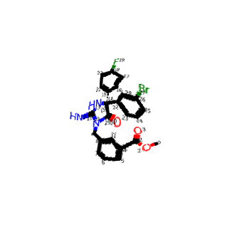 COC(=O)c1cccc(CN2C(=N)N[C@@](c3ccc(F)cc3)(c3cccc(Br)c3)C2=O)c1